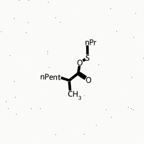 CCCCCC(C)C(=O)OSCCC